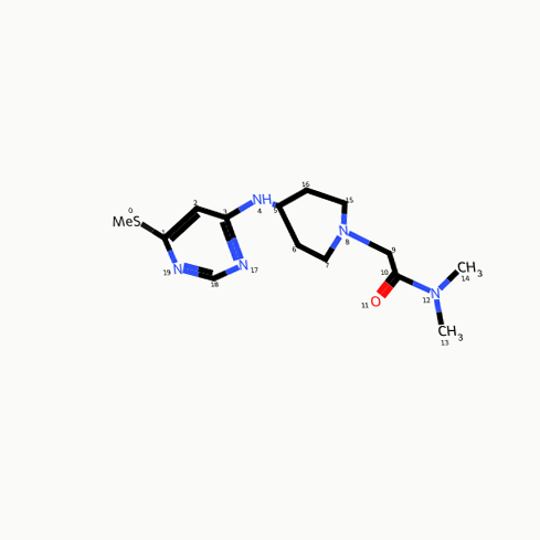 CSc1cc(NC2CCN(CC(=O)N(C)C)CC2)ncn1